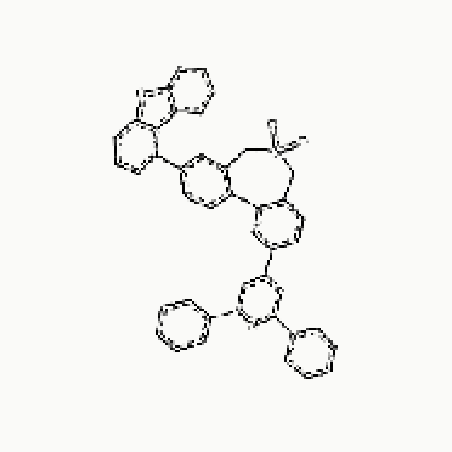 O=S1(=O)Cc2cc(-c3cccc4oc5ccccc5c34)ccc2-c2cc(-c3cc(-c4ccccc4)nc(-c4ccccc4)c3)ccc2C1